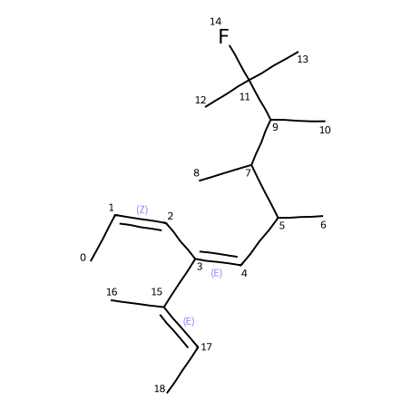 C\C=C/C(=C\C(C)C(C)C(C)C(C)(C)F)C(/C)=C/C